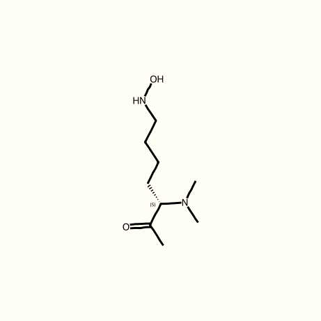 CC(=O)[C@H](CCCCNO)N(C)C